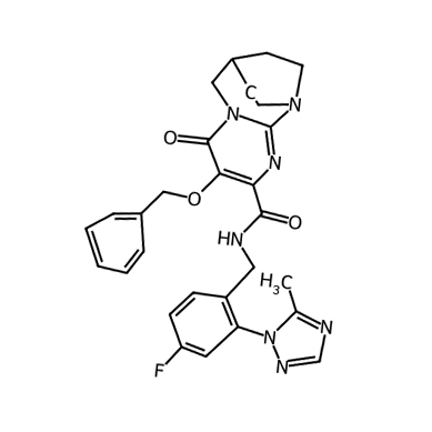 Cc1ncnn1-c1cc(F)ccc1CNC(=O)c1nc2n(c(=O)c1OCc1ccccc1)CC1CCN2CC1